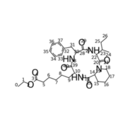 CCOC(=O)CCCCCC1NC(=O)C2CCCCN2C(=O)C(C(C)CC)NC(=O)C(Cc2ccccc2)NC1=O